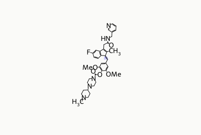 COc1cc(/C=C2/C(C)=C(CC(=O)NCc3cccnc3)c3cc(F)ccc32)cc(OC)c1OC(=O)N1CCN(C2CCN(C)CC2)CC1